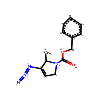 CC1C(N=[N+]=[N-])=CCN1C(=O)OCc1ccccc1